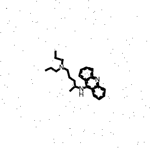 CCCN(CCC)CCCC(C)Nc1c2ccccc2nc2ccccc12